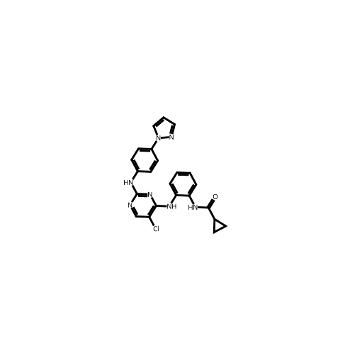 O=C(Nc1ccccc1Nc1nc(Nc2ccc(-n3cccn3)cc2)ncc1Cl)C1CC1